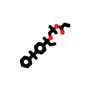 C=CC(=O)OC(C)(C)COC(C)(CC)c1ccc(C(C)(C)c2ccccc2)cc1